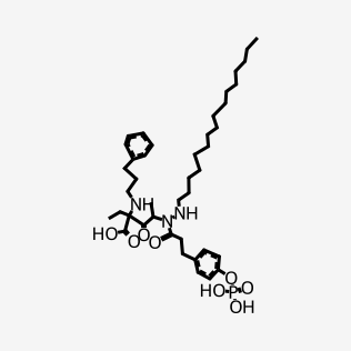 CCCCCCCCCCCCCCCCNN(C(=O)CCc1ccc(OP(=O)(O)O)cc1)C(C)C(=O)C(CC)(NCCCc1ccccc1)C(=O)O